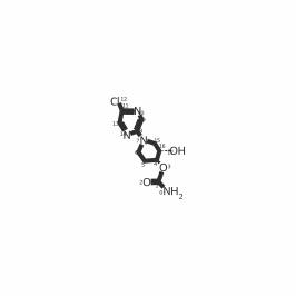 NC(=O)O[C@H]1CCN(c2cnc(Cl)cn2)C[C@@H]1O